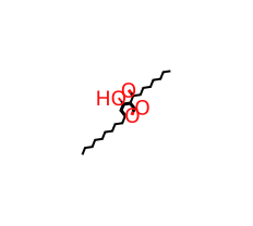 CCCCCCCCCc1cc(O)c(C(=O)CCCCCCC)c(=O)o1